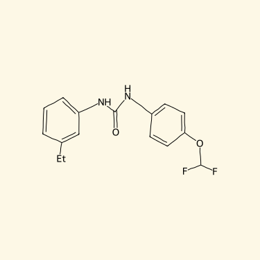 CCc1cccc(NC(=O)Nc2ccc(OC(F)F)cc2)c1